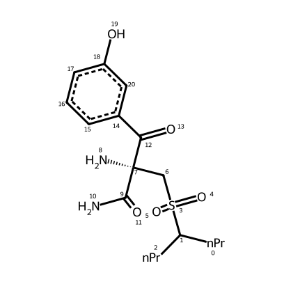 CCCC(CCC)S(=O)(=O)C[C@@](N)(C(N)=O)C(=O)c1cccc(O)c1